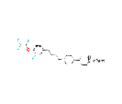 CCCCC[Si@H]1CC[C@H]([C@H]2CC[C@H](CCCCc3ccc(OC(F)=C(F)F)c(F)c3)CC2)CC1